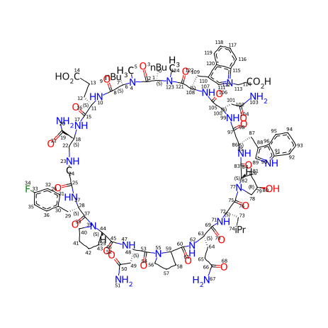 CCCC[C@H]1C(=O)N(C)[C@@H](CCCC)C(=O)N[C@@H](CCC(=O)O)C(=O)N[C@H](C(N)=O)CNCC(=O)N[C@@H](Cc2ccc(F)cc2)C(=O)N2CCCC[C@H]2C(=O)N[C@@H](CC(N)=O)C(=O)N2CCCC2C(=O)N[C@@H](CCC(N)=O)C(=O)N[C@@H](CC(C)C)C(=O)N2C[C@H](O)C[C@H]2C(=O)N[C@@H](Cc2c[nH]c3ccccc23)C(=O)N[C@@H](CC(N)=O)C(=O)N[C@@H](Cc2cn(CC(=O)O)c3ccccc23)C(=O)N1C